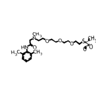 Cc1cccc(C)c1NC(=O)CN(C)CCOCCOCCOCCSS(C)(=O)=O